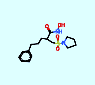 O=C(NO)C(CCCc1ccccc1)CS(=O)(=O)N1CCCC1